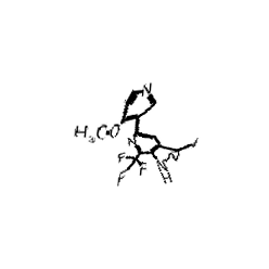 COc1ccncc1-c1cc2c(I)n[nH]c2c(C(F)(F)F)n1